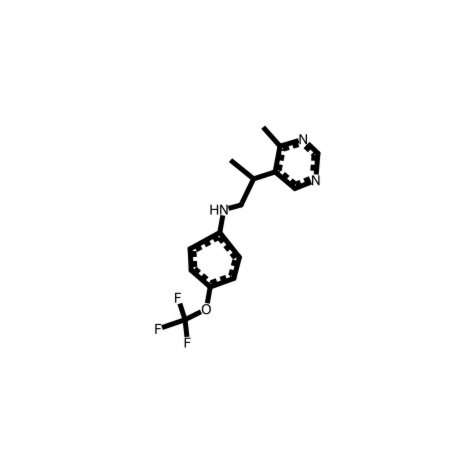 Cc1ncncc1C(C)CNc1ccc(OC(F)(F)F)cc1